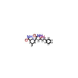 CC1CC(C(N)=O)C[C@@H]([C@H](C[C@@H](O)[CH]Cc2ccccc2)C(N)=O)C1